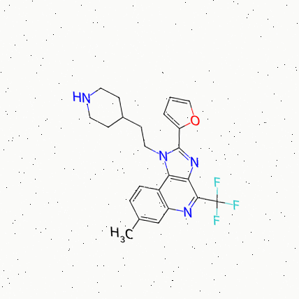 Cc1ccc2c(c1)nc(C(F)(F)F)c1nc(-c3ccco3)n(CCC3CCNCC3)c12